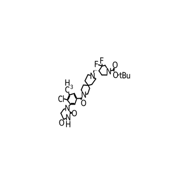 Cc1cc(C(=O)N2CCC3(CCN(C[C@H]4CCN(C(=O)OC(C)(C)C)CC4(F)F)CC3)CC2)cc(N2CCC(=O)NC2=O)c1Cl